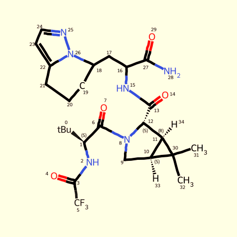 CC(C)(C)[C@H](NC(=O)C(F)(F)F)C(=O)N1C[C@H]2[C@@H]([C@H]1C(=O)NC(CC1CCCc3ccnn31)C(N)=O)C2(C)C